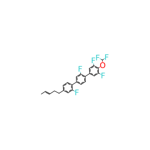 C/C=C/CCc1ccc(-c2ccc(-c3cc(F)c(OC(F)F)c(F)c3)c(F)c2)c(F)c1